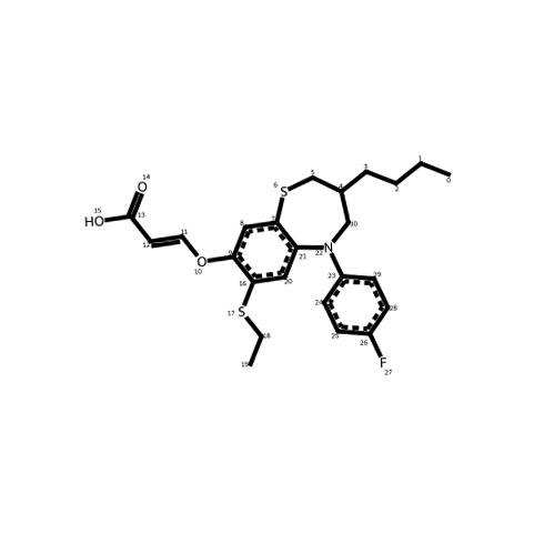 CCCCC1CSc2cc(O/C=C/C(=O)O)c(SCC)cc2N(c2ccc(F)cc2)C1